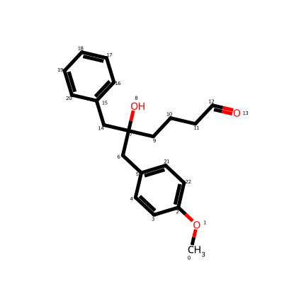 COc1ccc(CC(O)(CCCC=O)Cc2ccccc2)cc1